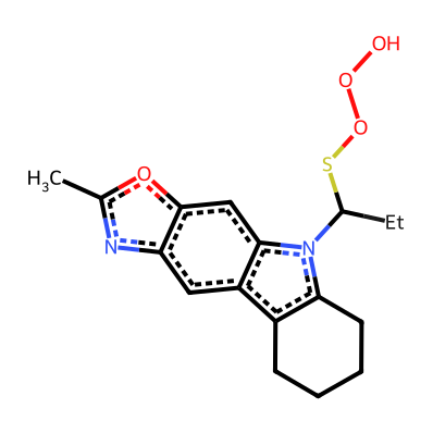 CCC(SOOO)n1c2c(c3cc4nc(C)oc4cc31)CCCC2